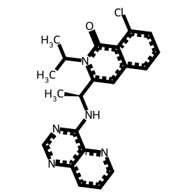 CC(C)n1c([C@H](C)Nc2ncnc3cccnc23)cc2cccc(Cl)c2c1=O